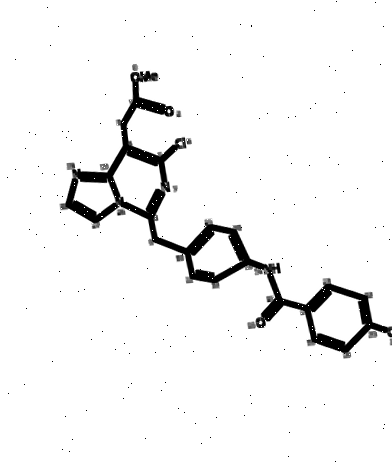 COC(=O)Cc1c(Cl)nc(Cc2ccc(NC(=O)c3ccc(C(F)(F)F)cc3)cc2)n2ccnc12